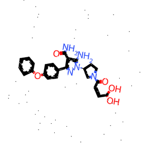 NC(=O)c1c(-c2ccc(Oc3ccccc3)cc2)nn([C@@H]2CCN(C(=O)/C=C\C(O)O)C2)c1N